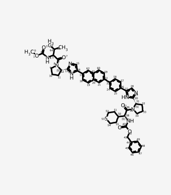 COC(=O)NC(C(=O)N1CCC[C@H]1c1ncc(-c2ccc3cc(-c4ccc(-c5cnc([C@@H]6CCCN6C(=O)[C@@H](NC(=O)OCc6ccccc6)C6CCSCC6)[nH]5)cc4)ccc3c2)[nH]1)C(C)C